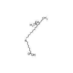 CCCCCCC(CCCCCCCCCCC1CC1CCCCCCCC(=O)O)N(C)C